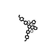 C=Cc1ccc(-c2ccc(-c3cc(-c4ccc(-c5ccc(C=C)cc5)cc4)c4c(=O)c5ccccc5n5c6ccccc6c(=O)c3c45)cc2)cc1